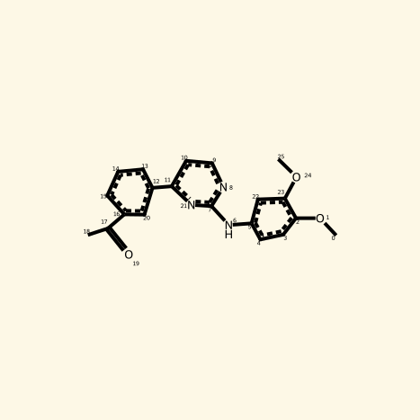 COc1ccc(Nc2nccc(-c3cccc(C(C)=O)c3)n2)cc1OC